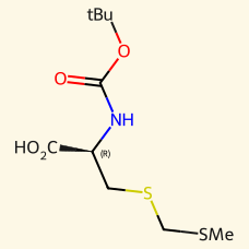 CSCSC[C@H](NC(=O)OC(C)(C)C)C(=O)O